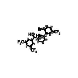 OC(c1cc(C(F)(F)F)cc(C(F)(F)F)c1)[C@@H]1CCC[C@@H](c2cc(C(F)(F)F)ccc2Br)N1